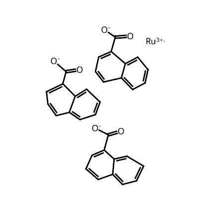 O=C([O-])c1cccc2ccccc12.O=C([O-])c1cccc2ccccc12.O=C([O-])c1cccc2ccccc12.[Ru+3]